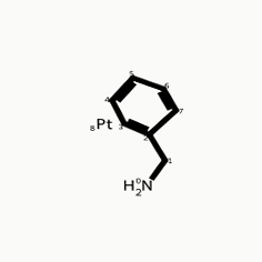 NCc1cc[c]cc1.[Pt]